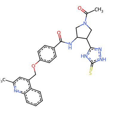 CC(=O)N1CC(NC(=O)c2ccc(OCc3cc(C)nc4ccccc34)cc2)C(c2n[nH]c(=S)[nH]2)C1